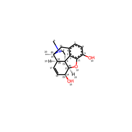 CN1CC[C@]23c4c5ccc(O)c4O[C@H]2[C@@H](O)C=C[C@H]3[C@@]1(C)C5